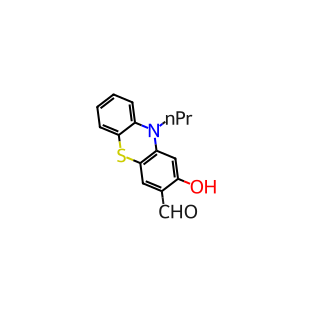 CCCN1c2ccccc2Sc2cc(C=O)c(O)cc21